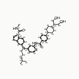 CNC(=O)n1ccc2cc(N(CCOC(C)C)c3ccnc(NC(=O)c4ccc(C5CCN(C(CO)CO)CC5)cc4)c3)ccc21